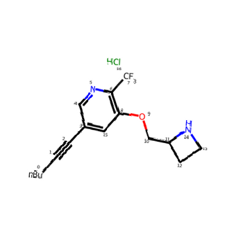 CCCCC#Cc1cnc(C(F)(F)F)c(OCC2CCN2)c1.Cl